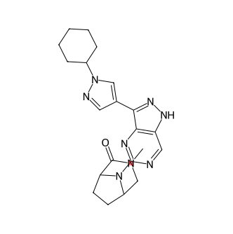 CN1CC2CCC(C1=O)N2c1ncc2[nH]nc(-c3cnn(C4CCCCC4)c3)c2n1